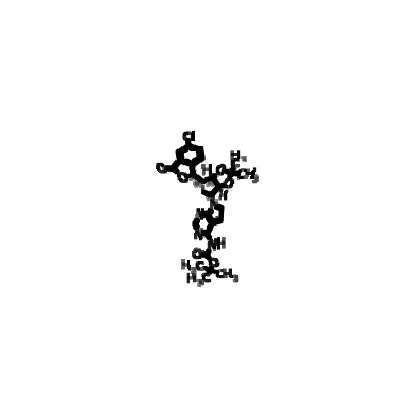 CC(C)(C)OC(=O)Nc1ncnc2c1ccn2[C@@H]1C[C@H]([C@H]2OC(=O)c3cc(Cl)ccc32)[C@H]2OC(C)(C)O[C@H]21